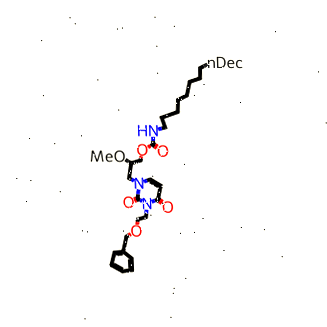 CCCCCCCCCCCCCCCCCCNC(=O)OCC(Cn1ccc(=O)n(CCOCc2ccccc2)c1=O)OC